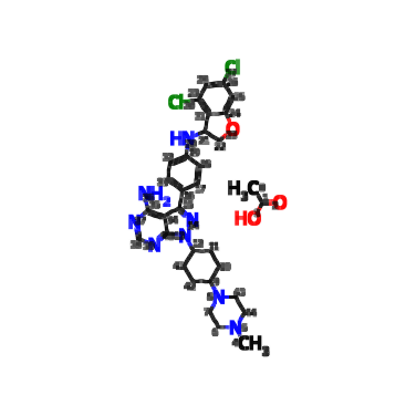 CC(=O)O.CN1CCN(C2CCC(n3nc(-c4ccc(NC5COc6cc(Cl)cc(Cl)c65)cc4)c4c(N)ncnc43)CC2)CC1